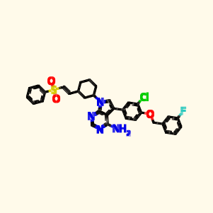 Nc1ncnc2c1c(-c1ccc(OCc3cccc(F)c3)c(Cl)c1)cn2C1CCCC(C=CS(=O)(=O)c2ccccc2)C1